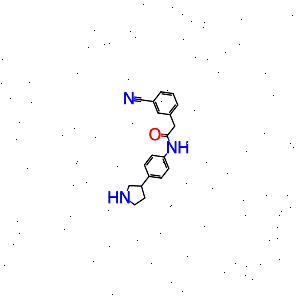 N#Cc1cccc(CC(=O)Nc2ccc(C3CCNC3)cc2)c1